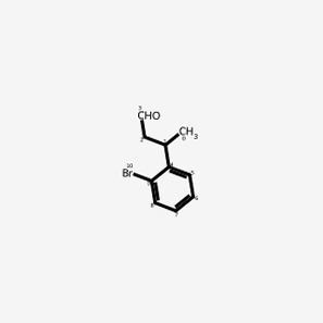 CC(CC=O)c1ccccc1Br